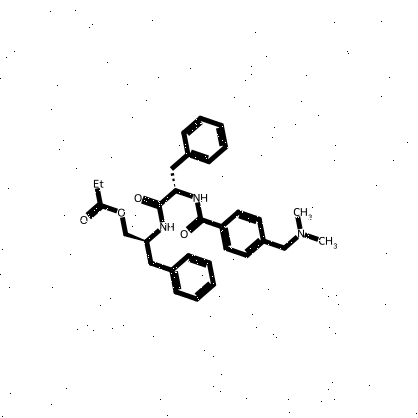 CCC(=O)OC[C@H](Cc1ccccc1)NC(=O)[C@H](Cc1ccccc1)NC(=O)c1ccc(CN(C)C)cc1